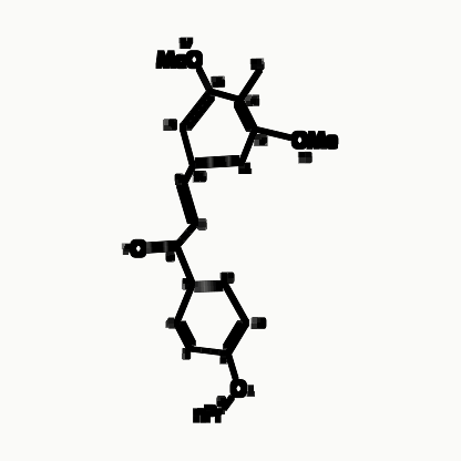 CCCOc1ccc(C(=O)C=Cc2cc(OC)c(C)c(OC)c2)cc1